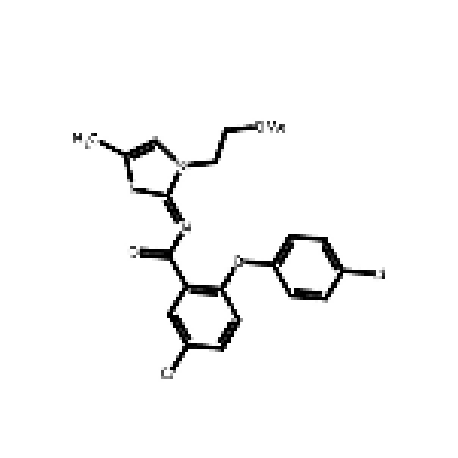 COCCn1cc(C)s/c1=N\C(=O)c1cc(Cl)ccc1Oc1ccc(Cl)cc1